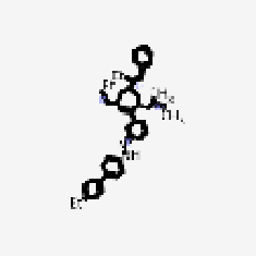 C/C=C(/C)C[C@@H]1CC(/C(=C/c2ccccc2)CC)CC(/C=C\CC)C=C1C1CCC/C(=N\NC2=CC=C(C3=CCC(CC)CC3)CC2)C1